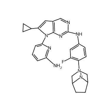 CN1C2CCC1CN(c1ccc(Nc3ncc4cc(C5CC5)n(-c5cccc(N)n5)c4n3)cc1F)C2